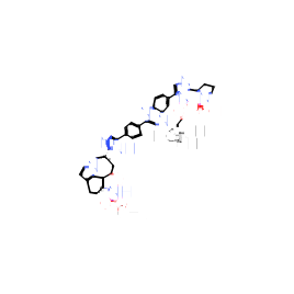 COC(=O)N[C@H]1CCc2ccn3c2C1C(=O)C[C@H](c1ncc(-c2ccc(-c4cnc5cc(-c6cnc(C7CCCN7C(=O)O)n6COCC[Si](C)(C)C)ccc5n4)cc2)[nH]1)C3